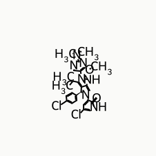 COc1nc(N(C)C)ncc1N1NC2=CN(c3cc(Cl)c[nH]c3=O)[C@@H](c3ccc(Cl)cc3)C2=C1C(C)C